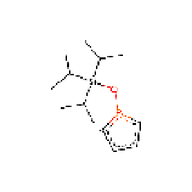 CC(C)[Si](Op1[c]ccc1)(C(C)C)C(C)C